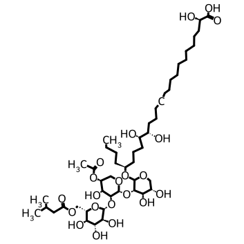 CCCC[C@@H](CCC[C@H](O)[C@@H](O)CCCCCCCCCCCCCC[C@@H](O)C(=O)O)OC1OC[C@H](O)[C@@H](O)[C@@H]1O[C@H]1OC[C@H](OC(C)=O)[C@@H](O)[C@@H]1O[C@H]1O[C@@H](COC(=O)CC(C)C)[C@H](O)[C@@H](O)[C@@H]1O